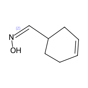 O/N=C\C1CC=CCC1